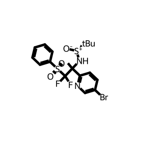 CC(C)(C)[S@+]([O-])NC(C)(c1ccc(Br)cn1)C(F)(F)S(=O)(=O)c1ccccc1